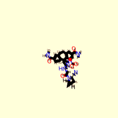 CN(C)C(=O)c1ccc2c(c1)CCc1cc(C(=O)N(C)C)ccc1C2(CCNCC(=O)N1[C@H](C#N)C[C@@H]2C[C@@H]21)c1nc(=O)on1C